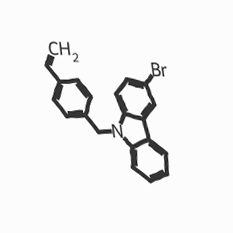 C=Cc1ccc(Cn2c3ccccc3c3cc(Br)ccc32)cc1